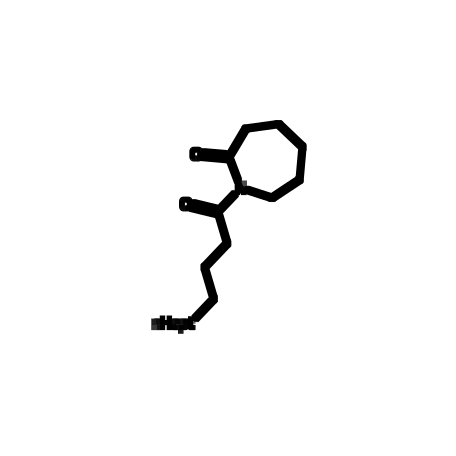 CCCCCCCCCCC(=O)N1CCCCCC1=O